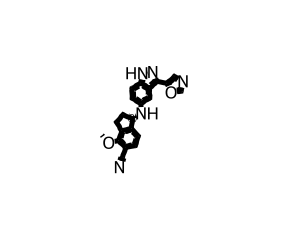 COc1c(C#N)ccc2c1CC[C@H]2Nc1ccc2[nH]nc(-c3cnco3)c2c1